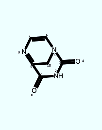 O=C1NC(=O)N2C=CN=C1C2